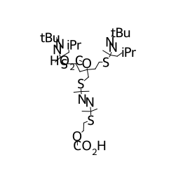 CC(C)CC(C)(N=NC(C)(C)C)SCCC(CCSC(C)(CC(C)C)N=NC(C)(C)C)(CSC(C)(C)N=NC(C)(C)SCCOC(=O)O)OC(=O)O